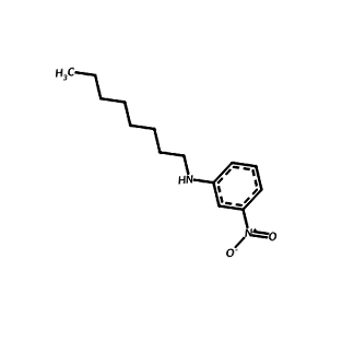 CCCCCCCCNc1cccc([N+](=O)[O-])c1